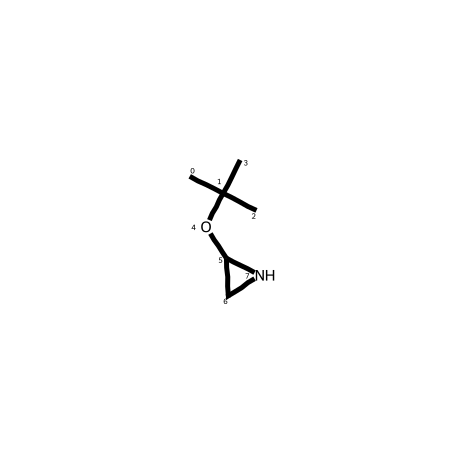 CC(C)(C)OC1CN1